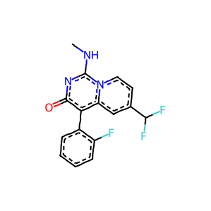 CNc1nc(=O)c(-c2ccccc2F)c2cc(C(F)F)ccn12